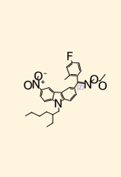 CCCCC(CC)Cn1c2ccc(/C(=N/OC(C)=O)c3ccc(F)cc3C)cc2c2cc([N+](=O)[O-])ccc21